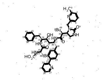 Cc1cccc(CN2C(=O)NCC2[C@@H](C(=O)N[C@H](Cc2ccc(-c3ccccn3)cc2)C[C@H](O)[C@H](Cc2ccccc2)NC(=O)[C@@H](NC(=O)O)C(C)(C)C)C(C)(C)C)n1